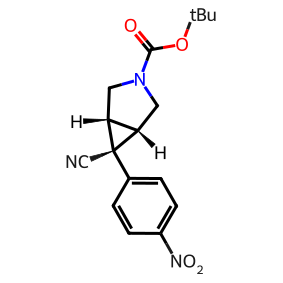 CC(C)(C)OC(=O)N1C[C@@H]2[C@H](C1)[C@]2(C#N)c1ccc([N+](=O)[O-])cc1